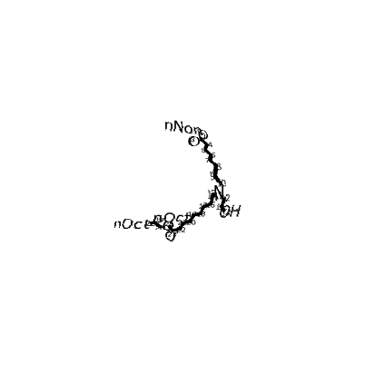 CCCCCCCCCOC(=O)CCCCCCCN(CCO)CCCCCCCCC(=O)OCC(CCCCCCCC)CCCCCCCC